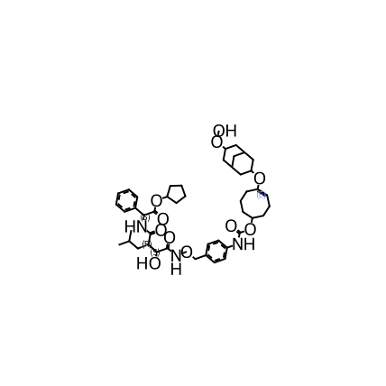 CC(C)C[C@@H](C(=O)N[C@H](C(=O)OC1CCCC1)c1ccccc1)[C@H](O)C(=O)NOCc1ccc(NC(=O)OC2CC/C=C(/OC3CC4CC(CC(OO)C4)C3)CCC2)cc1